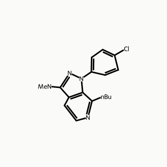 CCCCc1nccc2c(NC)nn(-c3ccc(Cl)cc3)c12